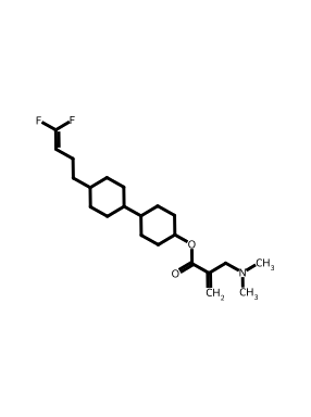 C=C(CN(C)C)C(=O)OC1CCC(C2CCC(CCC=C(F)F)CC2)CC1